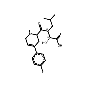 CC(C)C[C@H](C(=O)C1CC(c2ccc(F)cc2)=CCN1)[C@@H](O)C(=O)O